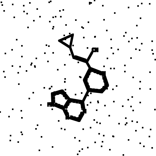 N#CC(=CC1CC1)c1cc(-c2ncnc3[nH]ccc23)ccn1